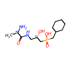 C[C@@H](N)C(=O)NC[C@H](O)CP(=O)(O)CC1CCCCC1